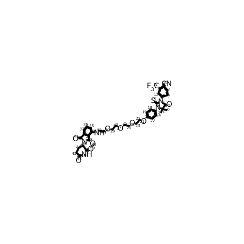 CC1(C)C(=O)N(c2ccc(C#N)c(C(F)(F)F)c2)C(=S)N1c1ccc(OCCOCCOCCOCCNc2cccc3c2C(=O)N(C2CCC(=O)NC2=O)C3=O)cc1